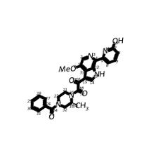 COc1cnc(-c2cccc(O)n2)c2[nH]cc(C(=O)C(=O)N3CCN(C(=O)c4ccccc4)C[C@H]3C)c12